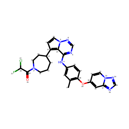 Cc1cc(Nc2ncnn3ccc(C4CCCN(C(=O)C(F)Cl)CC4)c23)ccc1Oc1ccn2ncnc2c1